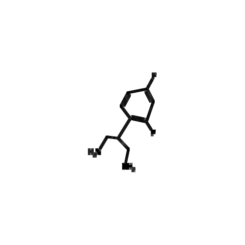 NCC(CN)c1ccc(F)cc1F